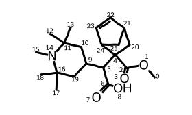 COC(=O)C1(C(C(=O)O)C2CC(C)(C)N(C)C(C)(C)C2)CC2C=CC1C2